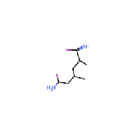 CC(CC(N)I)CC(C)C(=N)I